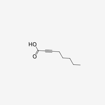 CCCCCC#CC(=O)O